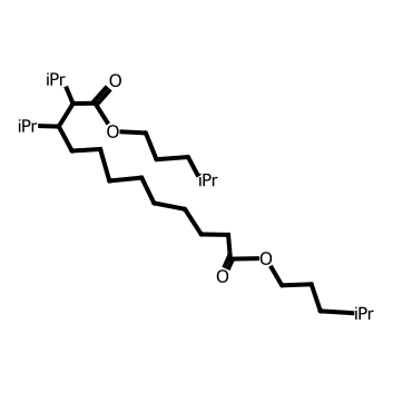 CC(C)CCCOC(=O)CCCCCCCCC(C(C)C)C(C(=O)OCCCC(C)C)C(C)C